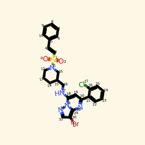 O=S(=O)(/C=C/c1ccccc1)N1CCCC(CNc2cc(-c3ccccc3Cl)nc3c(Br)cnn23)C1